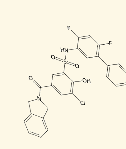 O=C(c1cc(Cl)c(O)c(S(=O)(=O)Nc2cc(-c3ccccc3)c(F)cc2F)c1)N1Cc2ccccc2C1